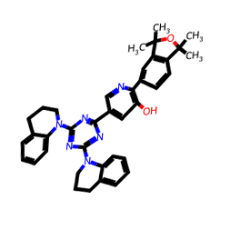 CC1(C)OC(C)(C)c2cc(-c3ncc(-c4nc(N5CCCc6ccccc65)nc(N5CCCc6ccccc65)n4)cc3O)ccc21